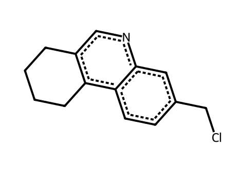 ClCc1ccc2c3c(cnc2c1)CCCC3